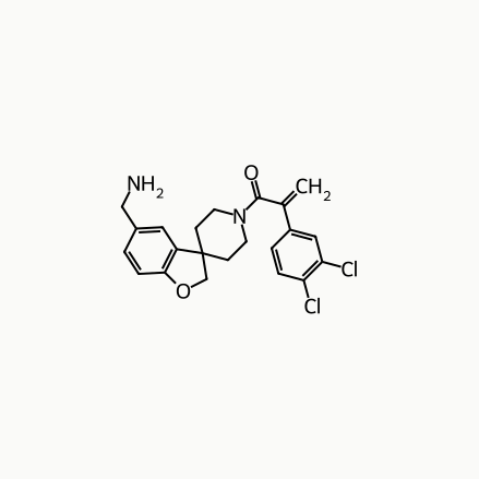 C=C(C(=O)N1CCC2(CC1)COc1ccc(CN)cc12)c1ccc(Cl)c(Cl)c1